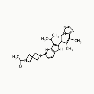 CC(=O)N1CC2(C1)CN(c1ccc3[nH]c(-c4cn5ncnc5c(C)c4C)c(C(C)C)c3n1)C2